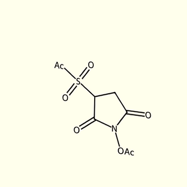 CC(=O)ON1C(=O)CC(S(=O)(=O)C(C)=O)C1=O